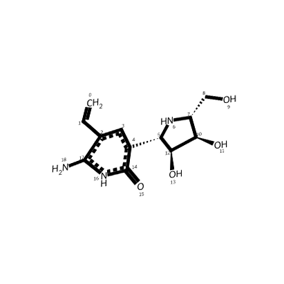 C=Cc1cc([C@@H]2N[C@H](CO)[C@@H](O)[C@H]2O)c(=O)[nH]c1N